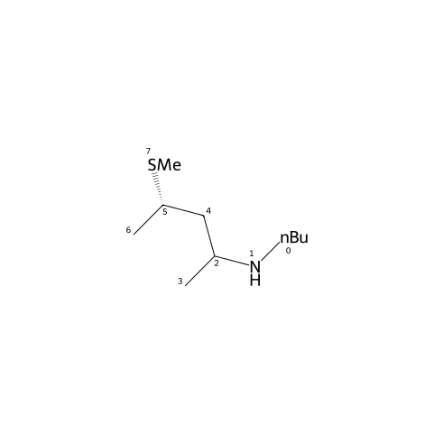 CCCCNC(C)C[C@H](C)SC